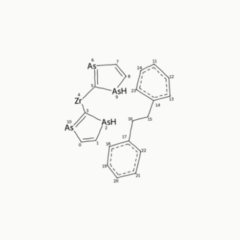 C1=C[AsH][C]([Zr][C]2=[As]C=C[AsH]2)=[As]1.c1ccc(CCc2ccccc2)cc1